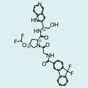 O=C(NCC(=O)N1C[C@H](OC(F)F)C[C@H]1C(=O)N[C@H](CO)c1cc2cnccc2[nH]1)c1ccc2c(c1)-c1ccccc1C2(F)F